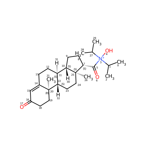 CC(C)[N+](O)(C(=O)[C@H]1CC[C@H]2[C@@H]3CCC4=CC(=O)CC[C@]4(C)[C@H]3CC[C@]12C)C(C)C